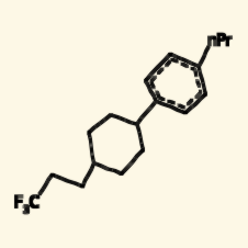 CCCc1ccc(C2CCC(CCC(F)(F)F)CC2)cc1